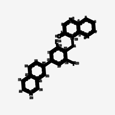 O=c1cnc2cccnc2n1Cc1c(F)cc(-c2ccc3ccncc3c2)cc1F